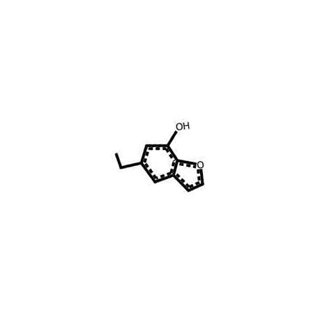 CCc1cc(O)c2occc2c1